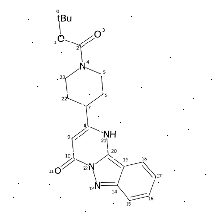 CC(C)(C)OC(=O)N1CCC(c2cc(=O)n3nc4ccccc4c3[nH]2)CC1